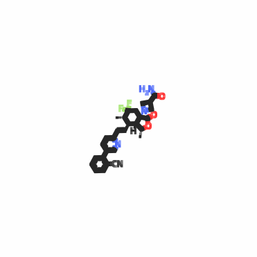 C[C@H]1OC(=O)[C@]2(N3CC(C(N)=O)C3)CC(F)(F)[C@@H](C)[C@H](C=Cc3ccc(-c4ccccc4C#N)cn3)[C@H]12